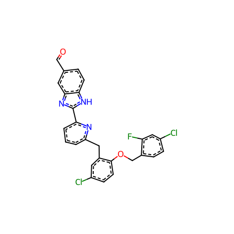 O=Cc1ccc2[nH]c(-c3cccc(Cc4cc(Cl)ccc4OCc4ccc(Cl)cc4F)n3)nc2c1